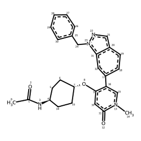 CC(=O)N[C@H]1CC[C@H](Oc2cc(=O)n(C)cc2-c2ccc3cnn(Cc4ccccc4)c3c2)CC1